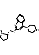 CN1CCC[C@H]1COc1nc(N2CCNCC2)c2ccccc2n1